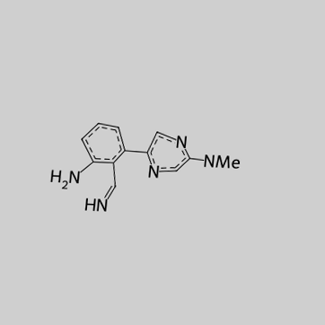 CNc1cnc(-c2cccc(N)c2C=N)cn1